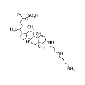 CC(C)C(CC[C@H](C)C1CCC2C1[C@H](C)CC1[C@@H]2CC[C@@]2(C)C[C@@H](NCCCNCCCCN)CC[C@]12C)OS(=O)(=O)O